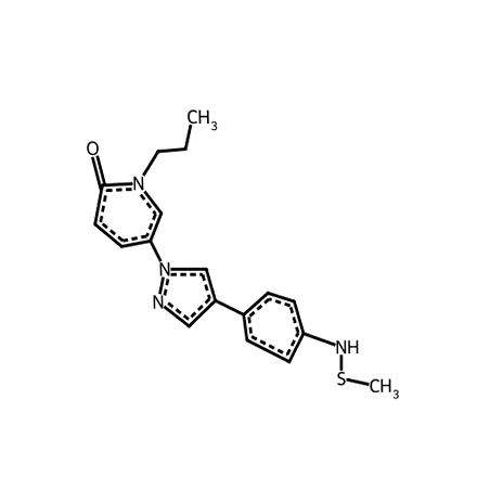 CCCn1cc(-n2cc(-c3ccc(NSC)cc3)cn2)ccc1=O